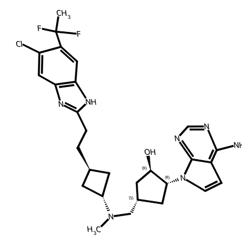 CN(C[C@@H]1C[C@@H](O)[C@H](n2ccc3c(N)ncnc32)C1)[C@H]1C[C@H](CCc2nc3cc(Cl)c(C(C)(F)F)cc3[nH]2)C1